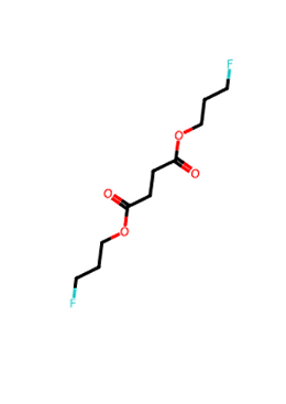 O=C(CCC(=O)OCCCF)OCCCF